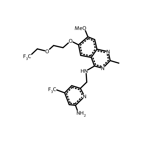 COc1cc2nc(C)nc(NCc3cc(C(F)(F)F)cc(N)n3)c2cc1OCCOCC(F)(F)F